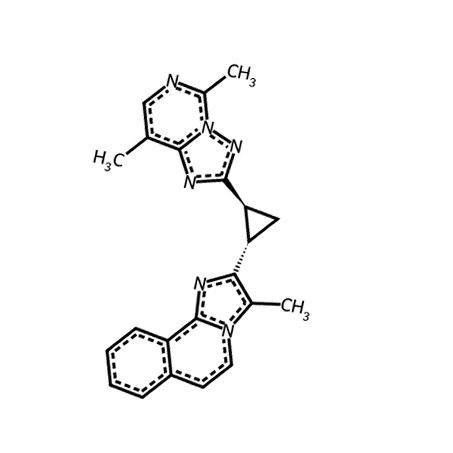 Cc1cnc(C)n2nc([C@H]3C[C@@H]3c3nc4c5ccccc5ccn4c3C)nc12